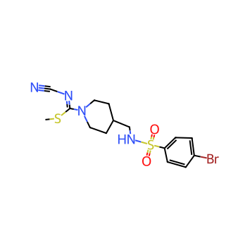 CSC(=NC#N)N1CCC(CNS(=O)(=O)c2ccc(Br)cc2)CC1